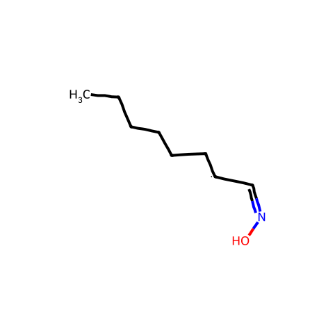 CCCCCC[CH]/C=N\O